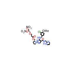 COc1ccc(CNc2nc(N3CCC[C@H]3COC(=O)CCOC[C@@H](CO[N+](=O)[O-])O[N+](=O)[O-])ncc2C(=O)NCc2ncccn2)cc1Cl